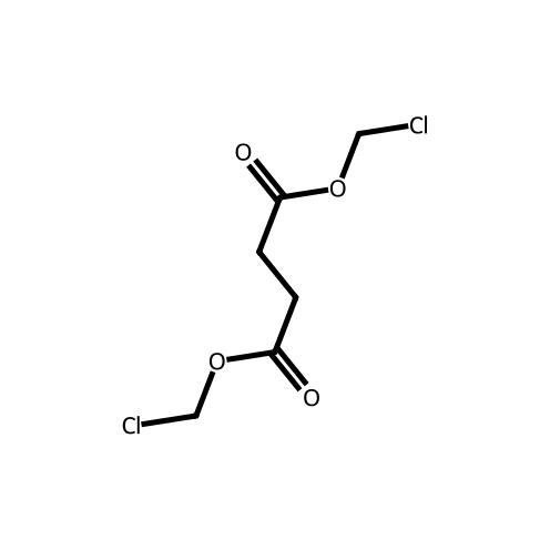 O=C(CCC(=O)OCCl)OCCl